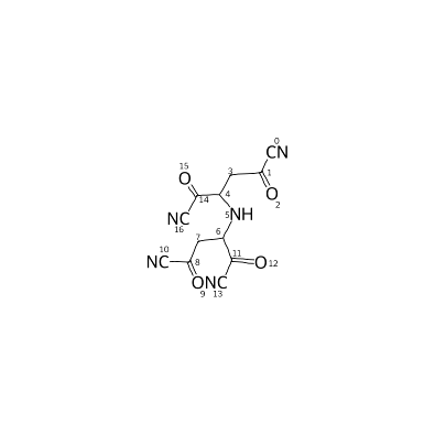 N#CC(=O)CC(NC(CC(=O)C#N)C(=O)C#N)C(=O)C#N